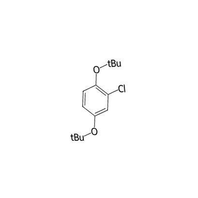 CC(C)(C)Oc1ccc(OC(C)(C)C)c(Cl)c1